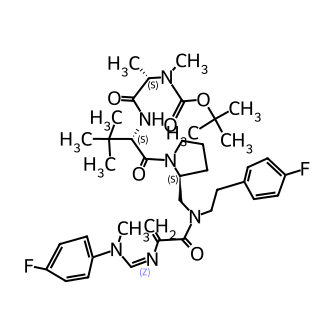 C=C(/N=C\N(C)c1ccc(F)cc1)C(=O)N(CCc1ccc(F)cc1)C[C@@H]1CCCN1C(=O)[C@@H](NC(=O)[C@H](C)N(C)C(=O)OC(C)(C)C)C(C)(C)C